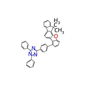 CC1(C)c2ccccc2-c2ccc3c(oc4cccc(-c5ccc(-c6nc(-c7ccccc7)nc(-c7ccccc7)n6)cc5)c43)c21